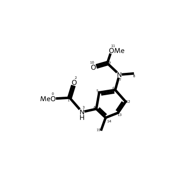 COC(=O)Nc1cc(N(C)C(=O)OC)ccc1C